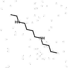 [CH2]CCCNCCCCNCC